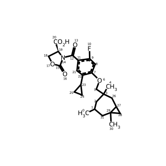 CC1CC(C)(COc2cc(F)c(C(=O)N3C(=O)OC[C@H]3C(=O)O)cc2C2CC2)CC2CC2(C)C1